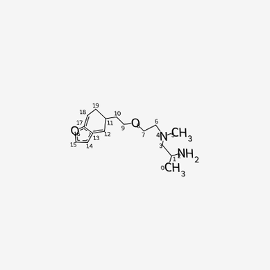 CC(N)CN(C)CCOCCC1C=c2ccoc2=CC1